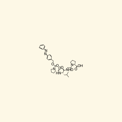 CC(C)C[C@H](NC(=O)[C@@H]1CCCN1C(=O)OCc1ccc(N=Nc2ccccc2)cc1)C(=O)NCC(=O)N1CCC[C@H]1C(=O)O